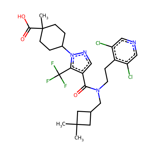 CC1(C)CC(CN(CCc2c(Cl)cncc2Cl)C(=O)c2cnn(C3CCC(C)(C(=O)O)CC3)c2C(F)(F)F)C1